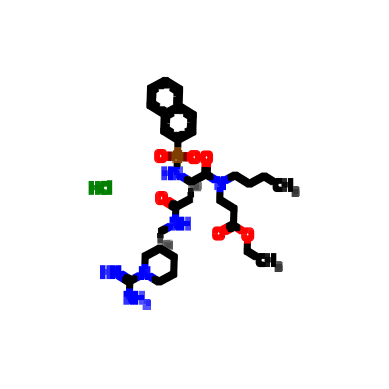 CCCCN(CCC(=O)OCC)C(=O)[C@H](CC(=O)NC[C@@H]1CCCN(C(=N)N)C1)NS(=O)(=O)c1ccc2ccccc2c1.Cl